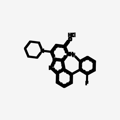 Cl.O=c1cc(N2CCCCC2)n2nc3cccc(-c4c(F)cccc4F)c3c2[nH]1